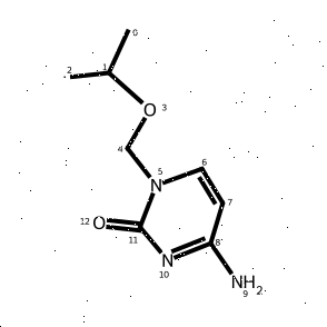 [CH2]C([CH2])OCn1ccc(N)nc1=O